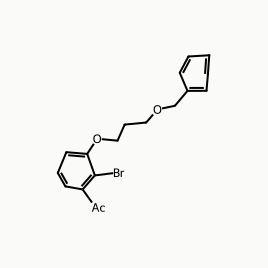 CC(=O)c1cccc(OCCCOCc2ccccc2)c1Br